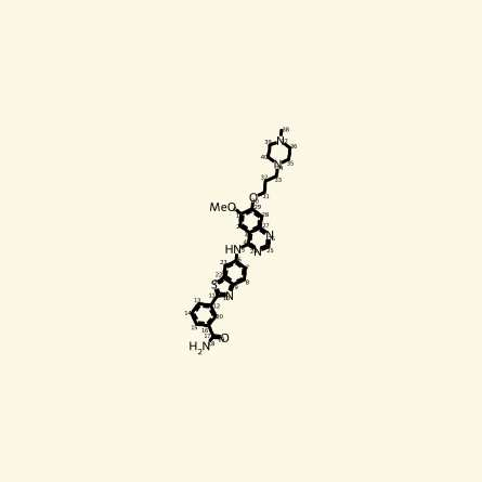 COc1cc2c(Nc3ccc4nc(-c5cccc(C(N)=O)c5)sc4c3)ncnc2cc1OCCCN1CCN(C)CC1